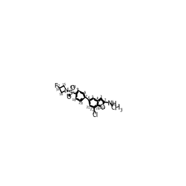 CNc1cc2cc(-c3ccc(S(=O)(=O)N4CC(F)C4)cc3)cc(Cl)c2o1